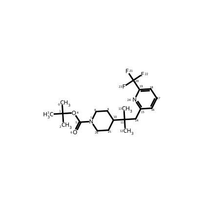 CC(C)(C)OC(=O)N1CCC(C(C)(C)Cc2cccc(C(F)(F)F)n2)CC1